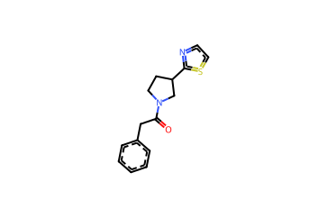 O=C(Cc1ccccc1)N1CCC(c2nccs2)C1